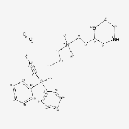 C[N+]#CC(CCCC[N+](C)(C)CCC1CNCCO1)(c1ccccc1)c1ccccc1.[Cl-].[Cl-]